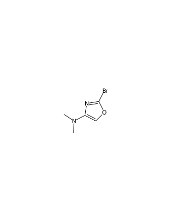 CN(C)c1coc(Br)n1